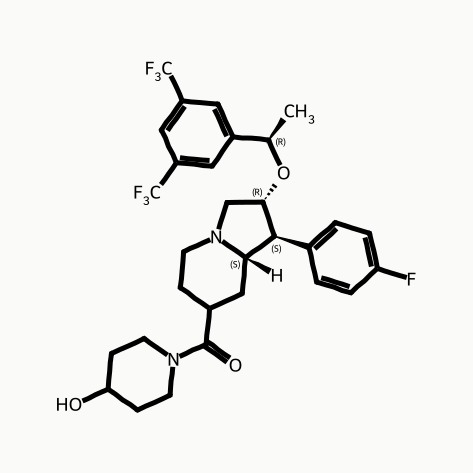 C[C@@H](O[C@H]1CN2CCC(C(=O)N3CCC(O)CC3)C[C@H]2[C@@H]1c1ccc(F)cc1)c1cc(C(F)(F)F)cc(C(F)(F)F)c1